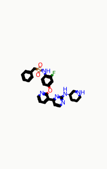 O=S(=O)(Cc1ccccc1)Nc1ccc(Oc2ncccc2-c2ccnc(N[C@H]3CCCNC3)n2)cc1F